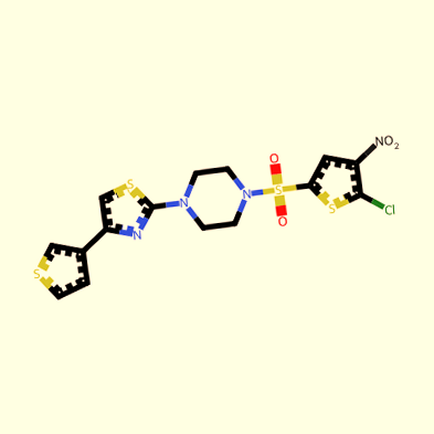 O=[N+]([O-])c1cc(S(=O)(=O)N2CCN(c3nc(-c4ccsc4)cs3)CC2)sc1Cl